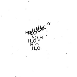 O.O.O.O.O.O.O.O=S(=O)(O)O.[Zn]